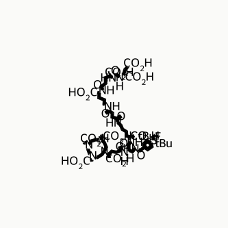 CC(C)(C)S(F)(c1ccc(C(=O)NCC(NC(=O)CCC(C(=O)O)N2CCN(CC(=O)O)CCN(CC(=O)O)CCN(CC(=O)O)CC2)C(=O)NC(CCCCNC(=O)CCC(=O)NCCCC(NC(=O)CC[C@H](NC(=O)N[C@@H](CCC(=O)O)C(=O)O)C(=O)O)C(=O)O)C(=O)O)cc1)C(C)(C)C